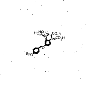 CCOc1ccc(COc2ccc(N(CC(=O)O)CC(=O)O)c(N(CC(=O)O)CC(=O)O)c2)cc1